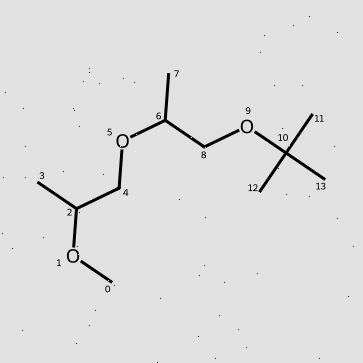 COC(C)COC(C)COC(C)(C)C